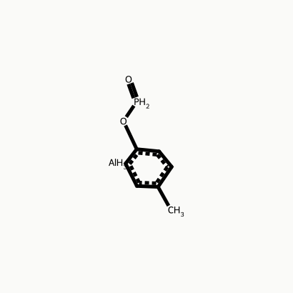 Cc1ccc(O[PH2]=O)cc1.[AlH3]